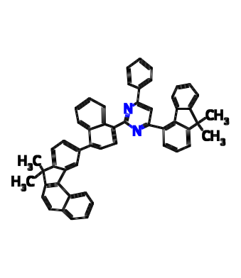 CC1(C)c2ccccc2-c2c(-c3cc(-c4ccccc4)nc(-c4ccc(-c5ccc6c(c5)-c5c(ccc7ccccc57)C6(C)C)c5ccccc45)n3)cccc21